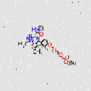 CCNC(=O)C[C@@H]1N=C(c2ccc(OCCOCCOCC(=O)OC(C)(C)C)cc2)c2c(sc(C)c2C)-n2c(C)nnc21